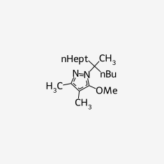 CCCCCCCC(C)(CCCC)n1nc(C)c(C)c1OC